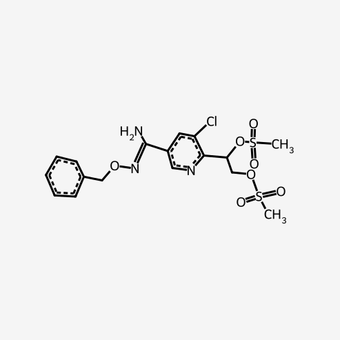 CS(=O)(=O)OCC(OS(C)(=O)=O)c1ncc(/C(N)=N/OCc2ccccc2)cc1Cl